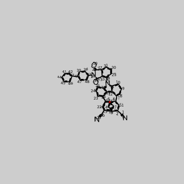 N#Cc1cccc(-c2cccc3c2c2c(-c4cccc(C#N)c4)cccc2n3-c2cccc3c2C(=O)N(c2ccc(-c4ccccc4)cc2)C3=O)c1